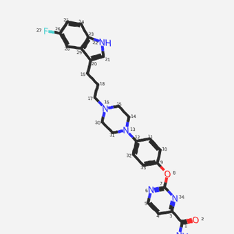 NC(=O)c1ccnc(Oc2ccc(N3CCN(CCCc4c[nH]c5ccc(F)cc45)CC3)cc2)n1